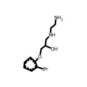 CC(C)c1ccccc1OCC(O)CNCCN